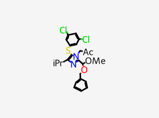 COC(OCc1ccccc1)c1nc(C(C)C)c(Sc2cc(Cl)cc(Cl)c2)n1CC(C)=O